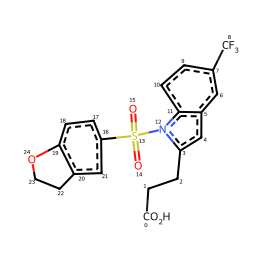 O=C(O)CCc1cc2cc(C(F)(F)F)ccc2n1S(=O)(=O)c1ccc2c(c1)CCO2